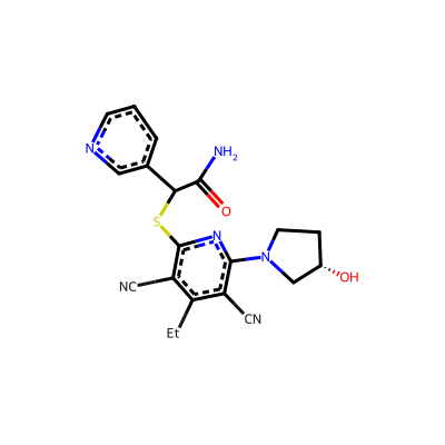 CCc1c(C#N)c(SC(C(N)=O)c2cccnc2)nc(N2CC[C@H](O)C2)c1C#N